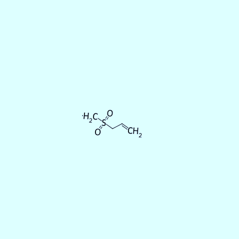 [CH2]S(=O)(=O)CC=C